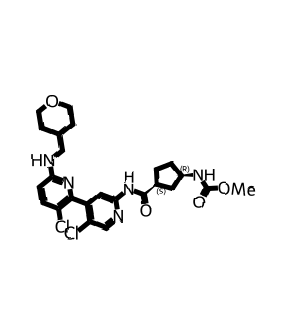 COC(=O)N[C@@H]1CC[C@H](C(=O)Nc2cc(-c3nc(NCC4CCOCC4)ccc3Cl)c(Cl)cn2)C1